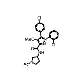 COc1c(C(=O)NC2CCN(C(C)=O)C2)nn(-c2ccccc2Cl)c1-c1ccc(Cl)cc1